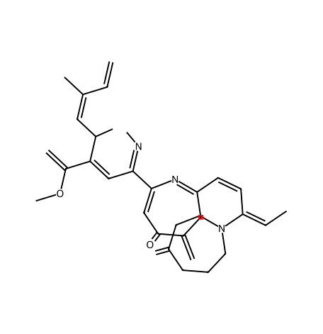 C=C/C(C)=C\C(C)/C(=C\C(=N/C)C1=CC(=O)C(=C)CC(/C=C\C(=C/C)N2CCCC(=C)CC2)=N1)C(=C)OC